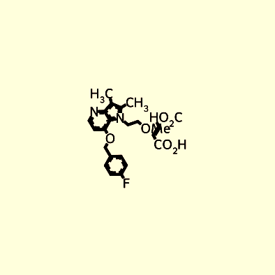 COCCn1c(C)c(C)c2nccc(OCc3ccc(F)cc3)c21.O=C(O)C=CC(=O)O